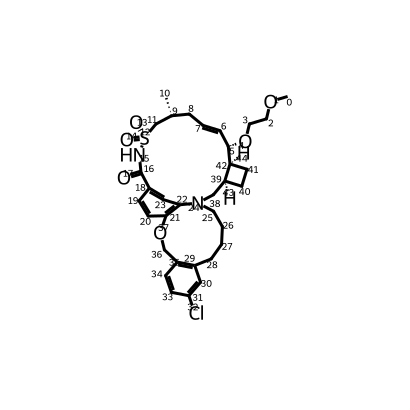 COCCO[C@H]1/C=C/C[C@@H](C)CS(=O)(=O)NC(=O)c2ccc3c(c2)N(CCCCc2cc(Cl)ccc2CO3)C[C@@H]2CC[C@@H]21